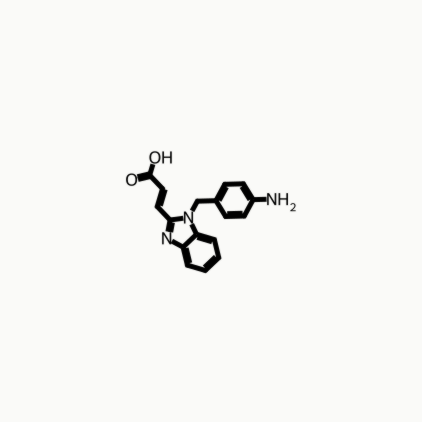 Nc1ccc(Cn2c(C=CC(=O)O)nc3ccccc32)cc1